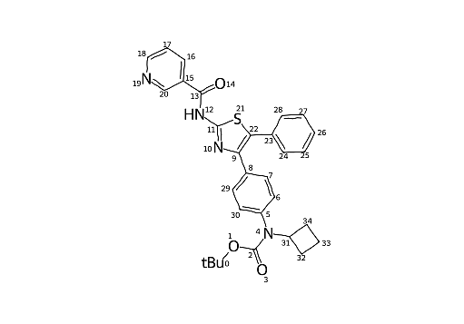 CC(C)(C)OC(=O)N(c1ccc(-c2nc(NC(=O)c3cccnc3)sc2-c2ccccc2)cc1)C1CCC1